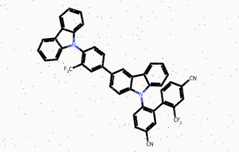 N#Cc1ccc(-n2c3ccccc3c3cc(-c4ccc(-n5c6ccccc6c6ccccc65)c(C(F)(F)F)c4)ccc32)c(-c2ccc(C#N)cc2C(F)(F)F)c1